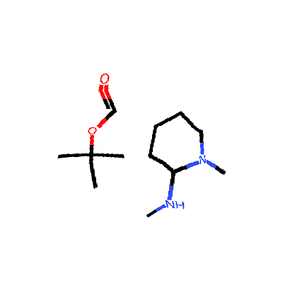 CC(C)(C)OC=O.CNC1CCCCN1C